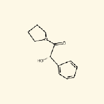 O=C([C@@H](O)c1ccccc1)N1C[CH]CC1